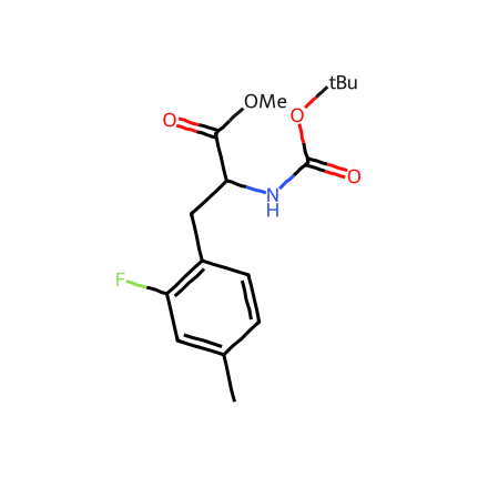 COC(=O)C(Cc1ccc(C)cc1F)NC(=O)OC(C)(C)C